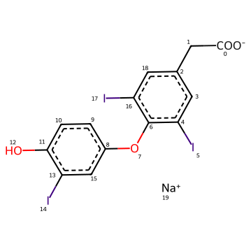 O=C([O-])Cc1cc(I)c(Oc2ccc(O)c(I)c2)c(I)c1.[Na+]